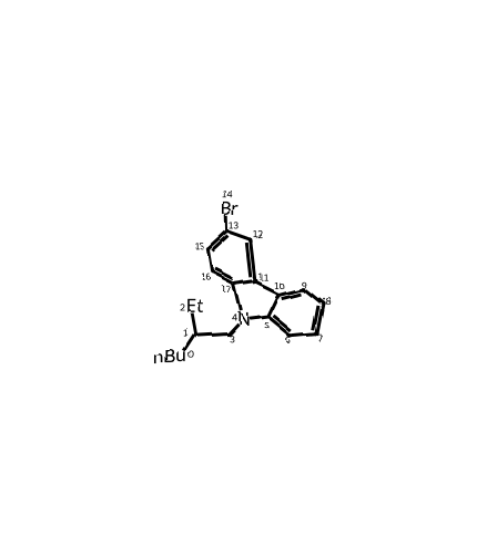 CCCCC(CC)Cn1c2cc[c]cc2c2cc(Br)ccc21